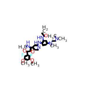 C=CC(=O)Nc1cc(N(C)CCN(C)C)ccc1Nc1cc2c(NC)c(C(=O)c3c(F)c(OC)cc(OC)c3F)oc2cn1